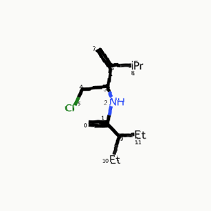 C=C(NC(CCl)C(=C)C(C)C)C(CC)CC